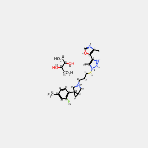 Cc1ncoc1-c1nnn(SCCCN2CC3CC3(c3ccc(C(F)(F)F)cc3F)C2)c1C.O=C(O)C(O)C(O)C(=O)O